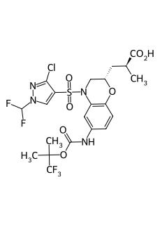 C[C@@H](C[C@H]1CN(S(=O)(=O)c2cn(C(F)F)nc2Cl)c2cc(NC(=O)OC(C)(C)C(F)(F)F)ccc2O1)C(=O)O